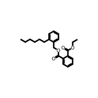 CCCCCCc1ccccc1COC(=O)c1ccccc1C(=O)OCC